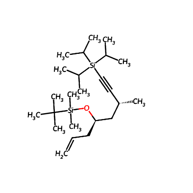 C=CC[C@H](C[C@@H](C)C#C[Si](C(C)C)(C(C)C)C(C)C)O[Si](C)(C)C(C)(C)C